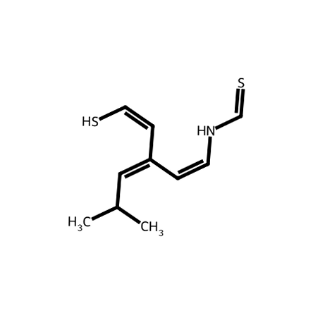 CC(C)/C=C(/C=C\S)\C=C/NC=S